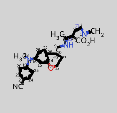 C=N/C=C\C(C(=O)O)=C(/C)NC[C@@H]1CCOc2cc(N(C)c3ccc(C#N)cc3)ccc21